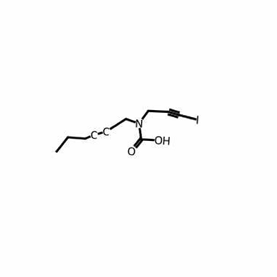 CCCCCCN(CC#CI)C(=O)O